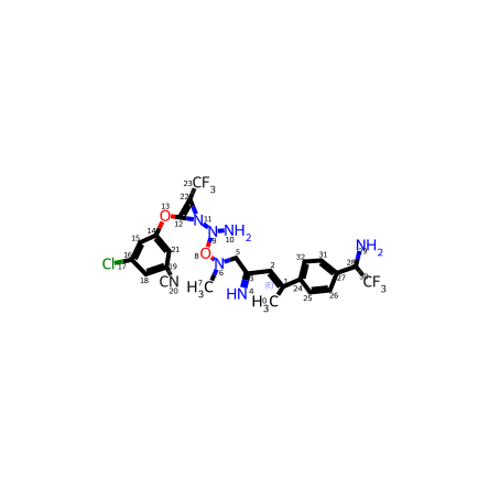 C/C(=C\C(=N)CN(C)ON(N)N1C(Oc2cc(Cl)cc(C#N)c2)=C1C(F)(F)F)c1ccc(C(N)C(F)(F)F)cc1